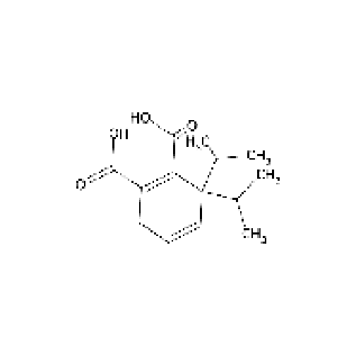 CC(C)C1(C(C)C)C=CCC(C(=O)O)=C1C(=O)O